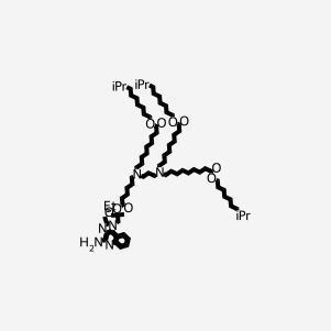 CCOCc1nc2c(N)nc3ccccc3c2n1CC(C)(C)OC(=O)CCCCCN(CCCCCCCCC(=O)OCCCCCCCC(C)C)CCCN(CCCCCCCCC(=O)OCCCCCCCC(C)C)CCCCCCCCC(=O)OCCCCCCCC(C)C